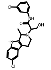 CC1c2[nH]c3ccc(Cl)cc3c2CCN1C(CO)C(=O)Nc1cccc(Cl)c1